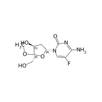 CO[C@]1(CO)O[C@@H](n2cc(F)c(N)nc2=O)C[C@@H]1O